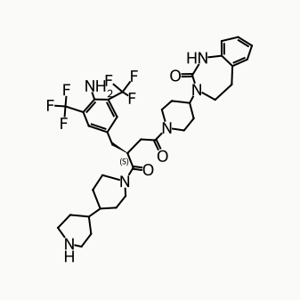 Nc1c(C(F)(F)F)cc(C[C@@H](CC(=O)N2CCC(N3CCc4ccccc4NC3=O)CC2)C(=O)N2CCC(C3CCNCC3)CC2)cc1C(F)(F)F